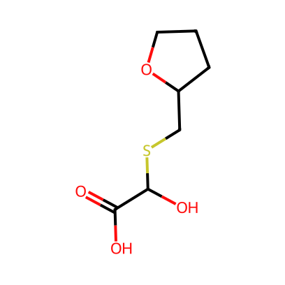 O=C(O)C(O)SCC1CCCO1